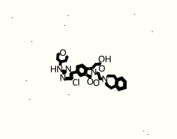 O=C(O)CC1c2ccc(-c3nc(NC4CCOCC4)ncc3Cl)cc2C(=O)N1CC(=O)N1CCc2ccccc2CC1